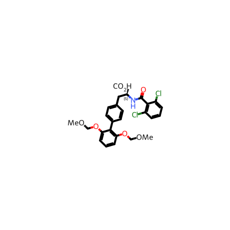 COCOc1cccc(OCOC)c1-c1ccc(C[C@H](NC(=O)c2c(Cl)cccc2Cl)C(=O)O)cc1